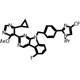 COc1ncnc(C2CC2)c1-c1ncc2c3c(F)cccc3n(Cc3ccc(-c4nc(C(F)(F)F)cn4C(C)C)cc3)c2n1